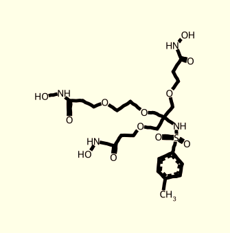 Cc1ccc(S(=O)(=O)NC(COCCOCCC(=O)NO)(COCCC(=O)NO)COCCC(=O)NO)cc1